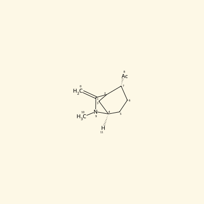 C=C1C2C[C@@H](CC[C@H]2C(C)=O)N1C